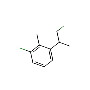 C[C](CF)c1cccc(Cl)c1C